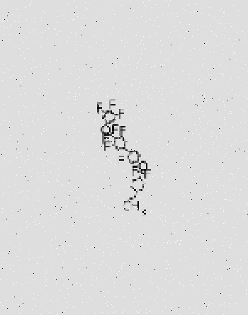 CCCC1CCC(C(F)(F)Oc2ccc(-c3cc(F)c(C(F)(F)Oc4cc(F)c(F)c(F)c4)c(F)c3)c(F)c2)CC1